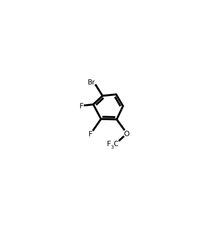 Fc1c(Br)ccc(OC(F)(F)F)c1F